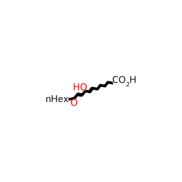 CCCCCCC1OC1C=CC(O)C=CCCCCCC(=O)O